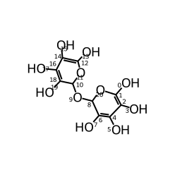 OC1=C(O)C(O)=C(O)C(OC2OC(O)=C(O)C(O)=C2O)O1